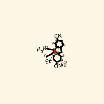 CC[C@@H]1C[C@@]2(Cc3ccc(C#N)cc3[C@@]23N=C(C)C(N)=N3)C[C@H](C)[C@H]1OC